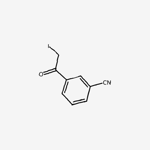 N#Cc1cccc(C(=O)CI)c1